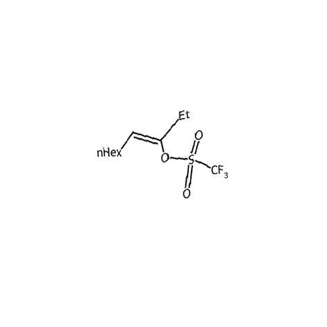 CCCCCC/C=C(/CC)OS(=O)(=O)C(F)(F)F